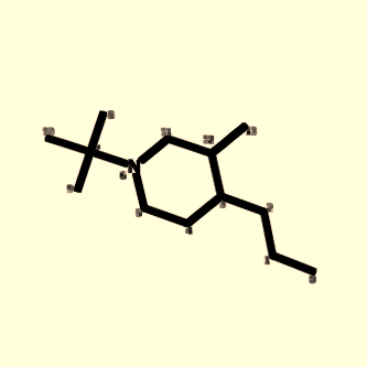 CCCC1CCN(C(C)(C)C)CC1C